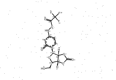 O=C1O[C@@H]2[C@H](O1)[C@@H](CO)O[C@H]2n1ccc(NOC(=O)C(F)(F)F)nc1=O